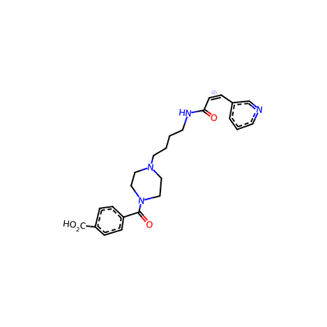 O=C(/C=C\c1cccnc1)NCCCCN1CCN(C(=O)c2ccc(C(=O)O)cc2)CC1